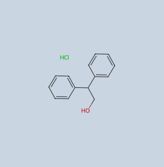 Cl.OCC(c1ccccc1)c1ccccc1